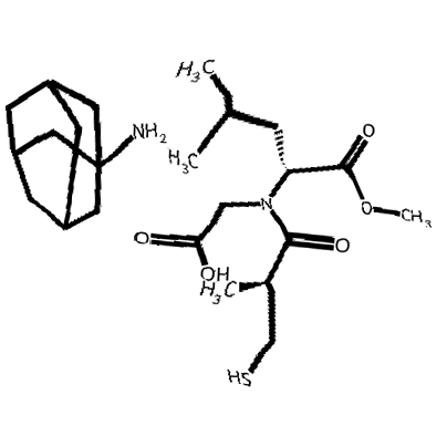 COC(=O)[C@@H](CC(C)C)N(CC(=O)O)C(=O)[C@H](C)CS.NC12CC3CC(CC(C3)C1)C2